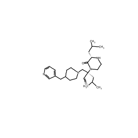 CC(C)C[C@@H]1NCCN([C@](C=O)(CC(C)C)CN2CCC(Cc3cccnc3)CC2)C1=O